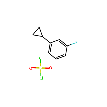 Fc1cccc(C2CC2)c1.O=S(=O)(Cl)Cl